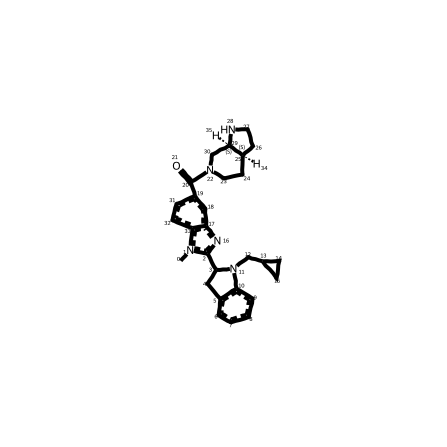 Cn1c(C2Cc3ccccc3N2CC2CC2)nc2cc(C(=O)N3CC[C@@H]4CCN[C@@H]4C3)ccc21